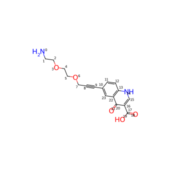 NCCOCCOCC#Cc1ccc2[nH]cc(C(=O)O)c(=O)c2c1